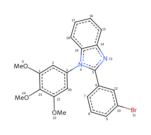 COc1cc(-n2c(-c3cccc(Br)c3)nc3ccccc32)cc(OC)c1OC